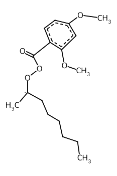 CCCCCC[C](C)OOC(=O)c1ccc(OC)cc1OC